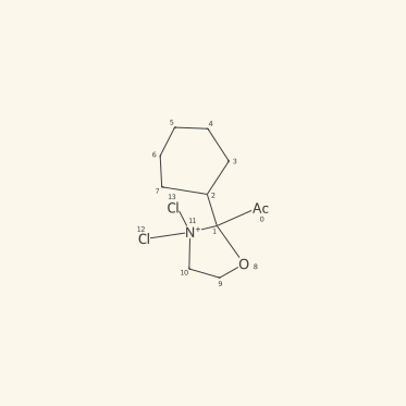 CC(=O)C1(C2CCCCC2)OCC[N+]1(Cl)Cl